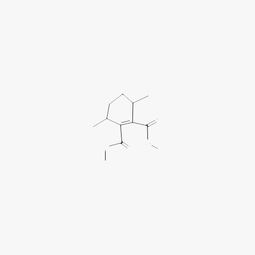 COC(=O)C1=C(C(=O)OC)C(C)CCC1C